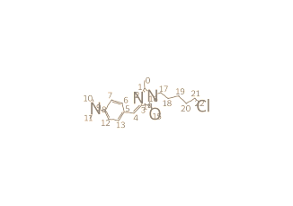 CC1=N/C(=C\c2ccc(N(C)C)cc2)C(=O)N1CCCCCCl